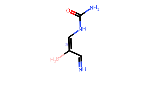 B/C(C=N)=C/NC(N)=O